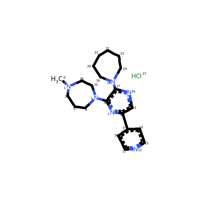 CN1CCCN(c2nc(-c3ccncc3)cnc2N2CCCCCC2)CC1.Cl